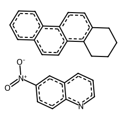 O=[N+]([O-])c1ccc2ncccc2c1.c1ccc2c(c1)ccc1c3c(ccc12)CCCC3